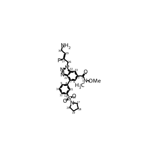 CON(C)C(=O)c1cc(-c2cccc(S(=O)(=O)N3CCCC3)c2)c2nnn(C/C(F)=C/CN)c2c1